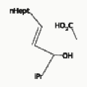 CC(=O)O.CCCCCCCC=CC(O)C(C)C